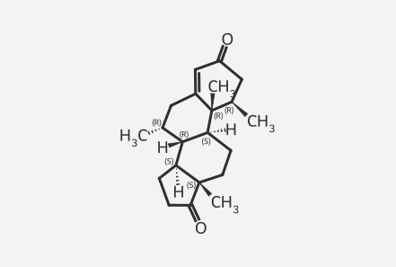 C[C@@H]1CC2=CC(=O)C[C@@H](C)[C@]2(C)[C@H]2CC[C@]3(C)C(=O)CC[C@H]3[C@H]12